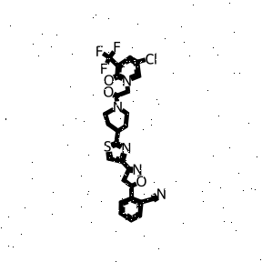 N#Cc1ccccc1C1CC(c2csc(C3CCN(C(=O)Cn4cc(Cl)cc(C(F)(F)F)c4=O)CC3)n2)=NO1